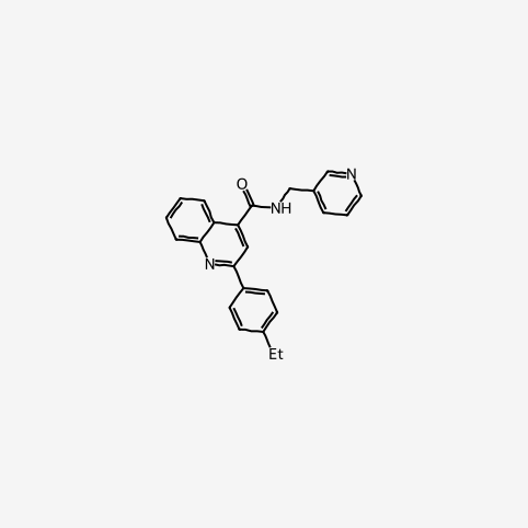 CCc1ccc(-c2cc(C(=O)NCc3cccnc3)c3ccccc3n2)cc1